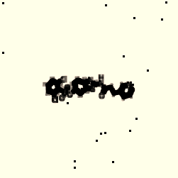 O=C(CCc1cccnc1)Nc1nc2ccc(OS(=O)(=O)c3c(Cl)cccc3Cl)cc2s1